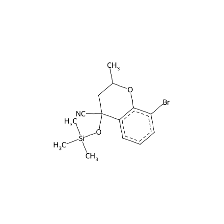 CC1CC(C#N)(O[Si](C)(C)C)c2cccc(Br)c2O1